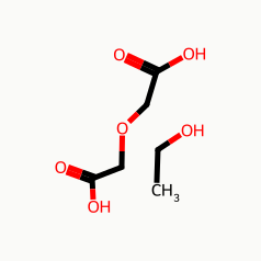 CCO.O=C(O)COCC(=O)O